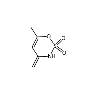 C=C1C=C(C)OS(=O)(=O)N1